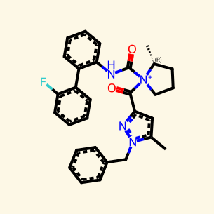 Cc1cc(C(=O)[N+]2(C(=O)Nc3ccccc3-c3ccccc3F)CCC[C@H]2C)nn1Cc1ccccc1